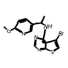 COc1ccc(C(C)Nc2ncnc3scc(Br)c23)cn1